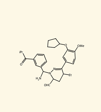 CCC1CC(C=O)N(C(N)c2cccc(C(=O)C(C)C)c2)N=C1c1ccc(OC)c(OC2CCCC2)c1